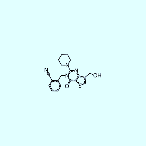 N#Cc1ccccc1Cn1c(N2CCCCC2)nc2c(CO)csc2c1=O